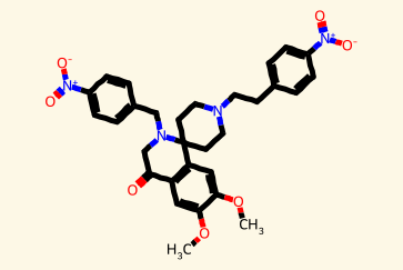 COc1cc2c(cc1OC)C1(CCN(CCc3ccc([N+](=O)[O-])cc3)CC1)N(Cc1ccc([N+](=O)[O-])cc1)CC2=O